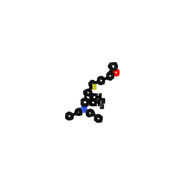 CC1(C)c2cc(-c3ccc(-c4ccc(-c5ccc6oc7ccccc7c6c5)cc4)s3)ccc2-c2ccc(N(c3ccc(-c4ccccc4)cc3)c3ccc(-c4ccccc4)cc3)cc21